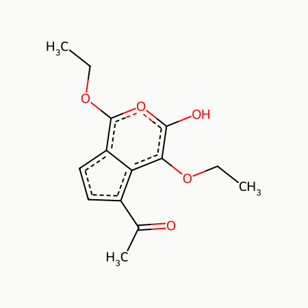 CCOc1oc(O)c(OCC)c2c(C(C)=O)ccc1-2